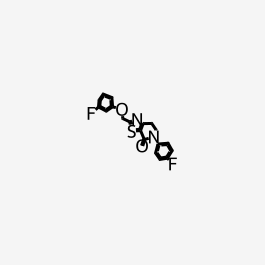 O=C1c2sc(COc3cccc(F)c3)nc2CCN1c1ccc(F)cc1